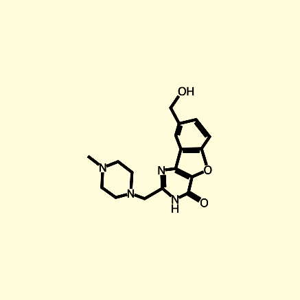 CN1CCN(Cc2nc3c(oc4ccc(CO)cc43)c(=O)[nH]2)CC1